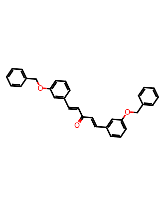 O=C(/C=C/c1cccc(OCc2ccccc2)c1)/C=C/c1cccc(OCc2ccccc2)c1